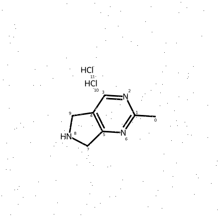 Cc1ncc2c(n1)CNC2.Cl.Cl